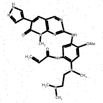 C=CC(=O)Nc1cc(Nc2ncc3cc(-c4cn[nH]c4)c(=O)n(C)c3n2)c(OC)cc1N(C)CCN(C)C